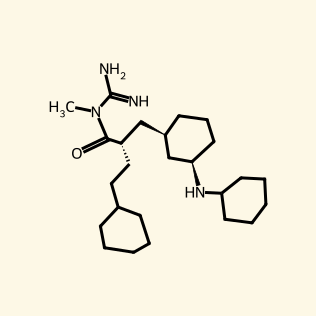 CN(C(=N)N)C(=O)[C@@H](CCC1CCCCC1)C[C@H]1CCC[C@@H](NC2CCCCC2)C1